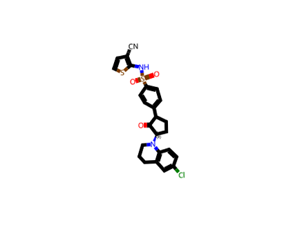 N#Cc1ccsc1NS(=O)(=O)c1ccc(C2CC[C@@H](N3CCCc4cc(Cl)ccc43)C2=O)cc1